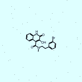 CN(CCc1cccc(Br)c1)C(=O)c1c(O)c(=O)[nH]c2ccccc12